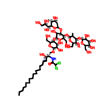 CCCCCCCCCCCCCCC/C=C/[C@@H](O)[C@H](CO[C@@H]1OC(CO)[C@@H](O[C@@H]2OC(CO)[C@H](O[C@@H]3OC(CO)[C@H](O)[C@H](O[C@@H]4OC(CO)[C@H](O)[C@H](O)C4O)C3C)[C@H](OC3C[C@@H](O)[C@@H](C)C([C@H](O)[C@H](O)CO)O3)C2O)[C@H](O)C1O)NC(=O)C(Cl)Cl